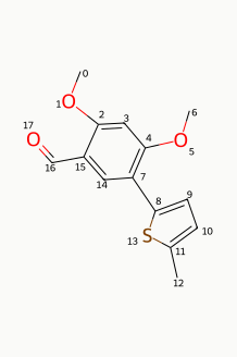 COc1cc(OC)c(-c2ccc(C)s2)cc1C=O